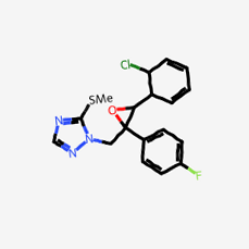 CSc1ncnn1CC1(c2ccc(F)cc2)OC1C1C=CC=CC1Cl